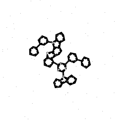 c1ccc(-c2cccc(-c3nc(-c4cccc5oc6c(ccc7c8ccccc8n(-c8cccc(-c9ccccc9)c8)c76)c45)nc(-n4c5ccccc5c5ccccc54)n3)c2)cc1